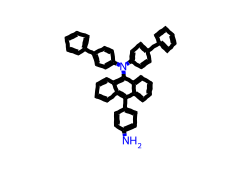 Nc1ccc(-c2c3ccccc3c(N(c3ccc(-c4ccccc4)cc3)c3ccc(-c4ccccc4)cc3)c3ccccc23)cc1